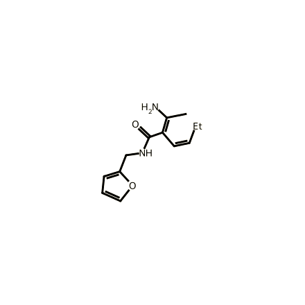 CC/C=C\C(C(=O)NCc1ccco1)=C(/C)N